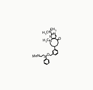 CNCC[C@@H](OCc1cccc(C2CCC(=O)c3cnc(N(C)C)nc3N(C)CC2)c1)c1ccccc1